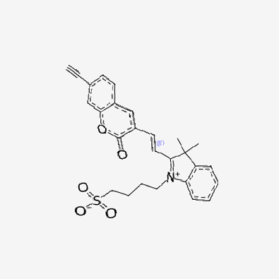 C#Cc1ccc2cc(/C=C/C3=[N+](CCCCS(=O)(=O)[O-])c4ccccc4C3(C)C)c(=O)oc2c1